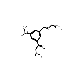 CCSCc1cc(C(=O)CC)cc([N+](=O)[O-])c1